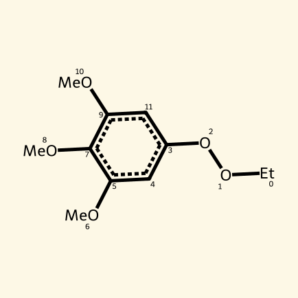 CCOOc1cc(OC)c(OC)c(OC)c1